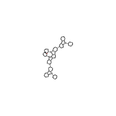 c1ccc(-n2c3ccccc3c3cc(-c4ccc5c(c4)c4ccc6c7cc(-c8ccc9c(c8)c8ccccc8n9-c8ccccc8)ccc7n(-c7ccccc7)c6c4n5-c4ccccc4)ccc32)cc1